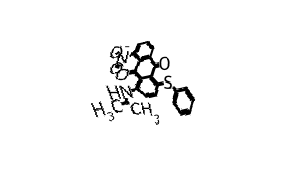 CC(C)Nc1ccc(Sc2ccccc2)c2c1C(=O)c1c(cccc1[N+](=O)[O-])C2=O